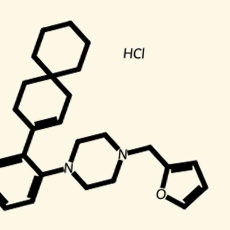 C1=C(c2ccccc2N2CCN(Cc3ccco3)CC2)CCC2(C1)CCCCC2.Cl